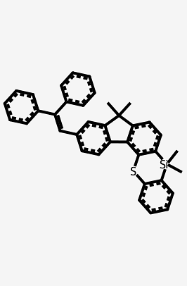 CC1(C)c2cc(C=C(c3ccccc3)c3ccccc3)ccc2-c2c1ccc1c2Sc2ccccc2[Si]1(C)C